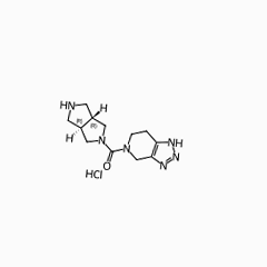 Cl.O=C(N1CCc2[nH]nnc2C1)N1C[C@H]2CNC[C@@H]2C1